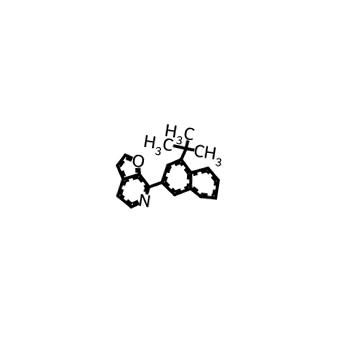 CC(C)(C)c1cc(-c2nccc3ccoc23)cc2ccccc12